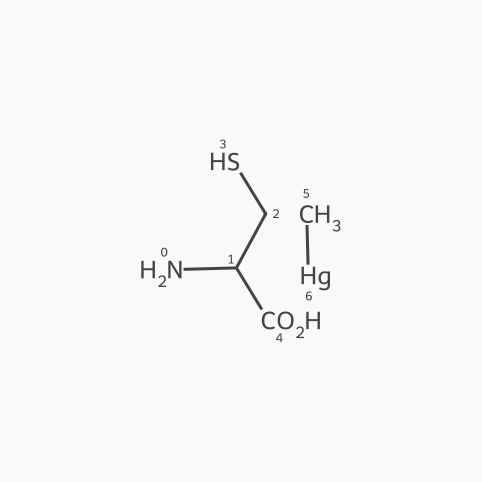 NC(CS)C(=O)O.[CH3][Hg]